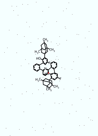 CC12CC3(C)CC(C)(C1)CC(c1cc(F)cc(-c4ccccc4-c4cccc(-c5ccccc5-c5cc(F)cc(C67CC8(C)CC(C)(CC(C)(C8)C6)C7)c5O)n4)c1O)(C2)C3